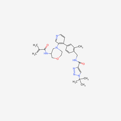 C=C(C)C(=O)NC1COCCN(c2cnccc2-c2ccc(CNC(=O)c3cn(C(C)(C)C)nn3)c(C)c2)C1